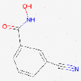 N#Cc1cccc(C(=O)NO)c1